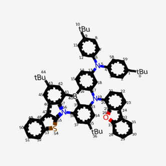 CC(C)(C)c1ccc(N(c2ccc(C(C)(C)C)cc2)c2ccc3c(c2)N(c2cccc4c2oc2ccccc24)c2cc(C(C)(C)C)cc4c2B3c2cc(C(C)(C)C)cc3c5c6ccccc6sc5n-4c23)cc1